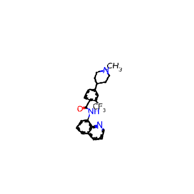 CN1CCC(c2ccc(C(=O)Nc3cccc4cccnc34)c(C(F)(F)F)c2)CC1